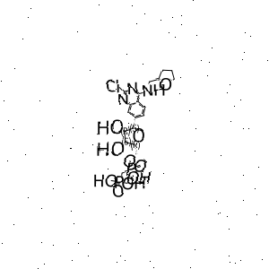 O=P(O)(O)CP(=O)(O)OC[C@H]1O[C@@H](c2ccc3c(NCC4CCCO4)nc(Cl)nc3c2)[C@H](O)[C@@H]1O